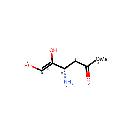 COC(=O)C[C@H](N)/C(O)=C/O